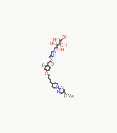 COCc1cnc(N2CCC(CCCCOc3ccc(CC(=O)N4CC(CNC[C@H](O)[C@@H](O)[C@H](O)[C@H](O)CO)C4)c(F)c3)CC2)nc1